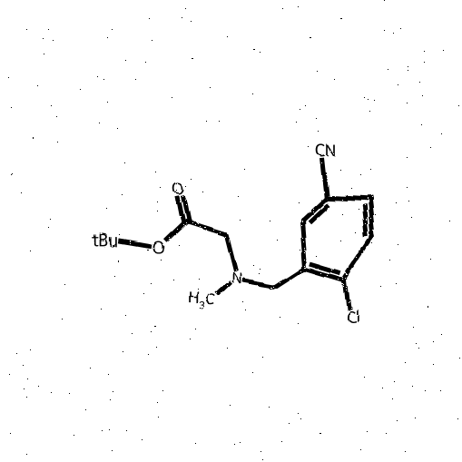 CN(CC(=O)OC(C)(C)C)Cc1cc(C#N)ccc1Cl